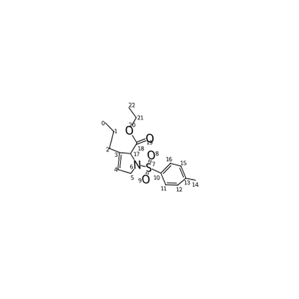 CCCC1=CCN(S(=O)(=O)c2ccc(C)cc2)C1C(=O)OCC